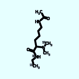 CC(=O)NCCCCC(C(=O)[15NH]C[13CH3])N(C)[13CH3]